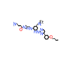 C=CCCOc1cccc(-c2ccnc(Nc3cc(CN(C)CC)cc(NCC4CN(C(=O)/C=C/CN(C)C)C4)c3)n2)c1